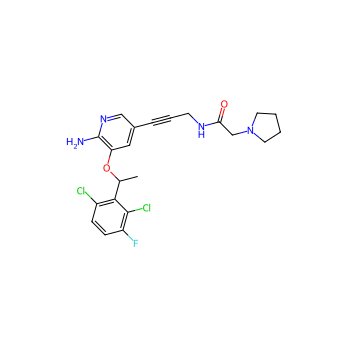 CC(Oc1cc(C#CCNC(=O)CN2CCCC2)cnc1N)c1c(Cl)ccc(F)c1Cl